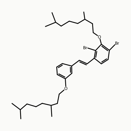 CC(C)CCCC(C)CCOc1cccc(C=Cc2ccc(Br)c(OCCC(C)CCCC(C)C)c2Br)c1